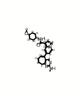 CNc1ncc2c(n1)CCCC=C2c1ccn2ncc(C(=O)N[C@H]3CC[C@H](OC)CC3)c2c1